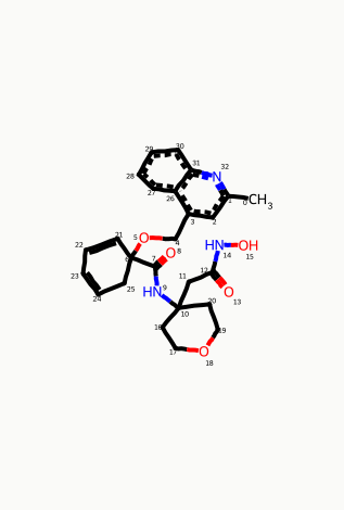 Cc1cc(COC2(C(=O)NC3(CC(=O)NO)CCOCC3)C=CC=CC2)c2ccccc2n1